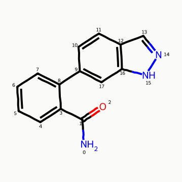 NC(=O)c1ccccc1-c1ccc2cn[nH]c2c1